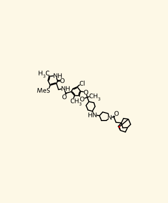 CSc1cc(C)[nH]c(=O)c1CNC(=O)c1cc(Cl)c2c(c1C)OC(C)(C1CCC(NC3CCN(C(=O)CC45CC6CC(CC(C6)C4)C5)CC3)CC1)O2